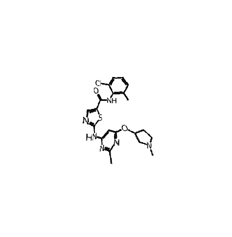 Cc1nc(Nc2ncc(C(=O)Nc3c(C)cccc3Cl)s2)cc(OC2CCN(C)C2)n1